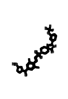 Cc1cc(C(=O)N2CC[C@@H](O)C2)cc(C)c1C=CS(=O)(=O)N1CCC2(CC1)N=C(c1cccc(OC(F)(F)F)c1)NC2=O